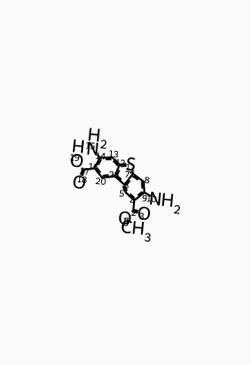 COC(=O)c1cc2c(cc1N)sc1cc(N)c(C(=O)O)cc12